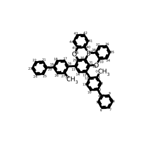 Cc1cc(-c2ccccc2)ccc1-c1cc(-c2ccc(-c3ccccc3)cc2C)c2c3c1Oc1ccccc1B3c1ccccc1O2